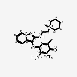 CC1=CC(=Nc2c(NCC[N+]3(C)CCCCC3)nn3ccccc23)C(N)=CC1=O.[Cl-]